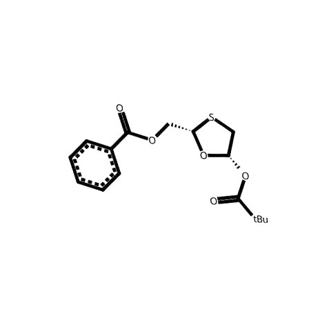 CC(C)(C)C(=O)O[C@H]1CS[C@@H](COC(=O)c2ccccc2)O1